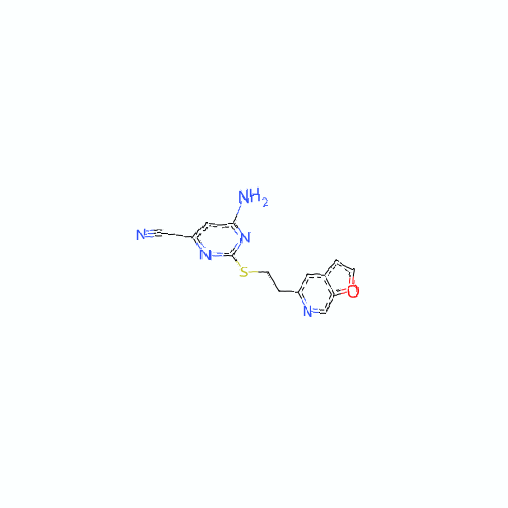 N#Cc1cc(N)nc(SCCc2cc3ccoc3cn2)n1